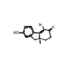 CC12CCC(=O)C(Br)=C1c1ccc(O)cc1C2